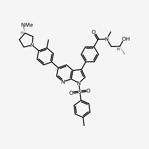 CN[C@H]1CCN(c2ccc(-c3cnc4c(c3)c(-c3ccc(C(=O)N(C)C[C@@H](C)O)cc3)cn4S(=O)(=O)c3ccc(C)cc3)cc2C)C1